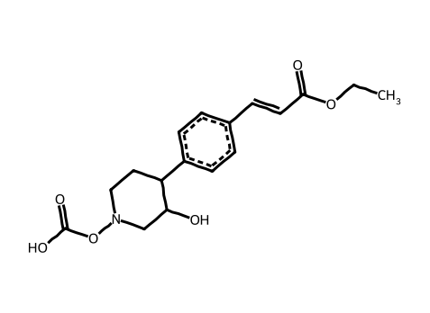 CCOC(=O)C=Cc1ccc(C2CCN(OC(=O)O)CC2O)cc1